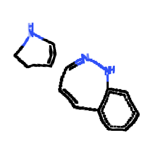 C1=CNCC1.C1=Cc2ccccc2NN=C1